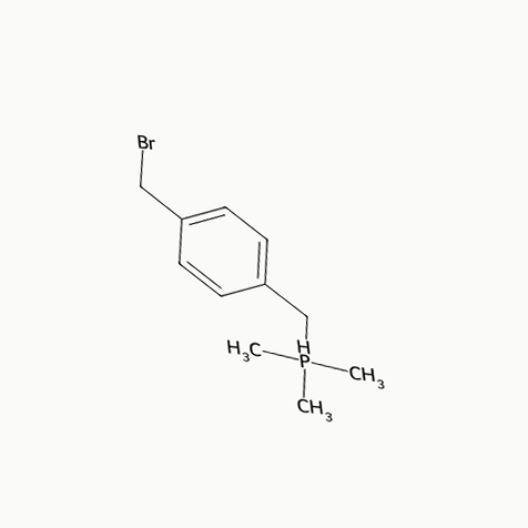 C[PH](C)(C)Cc1ccc(CBr)cc1